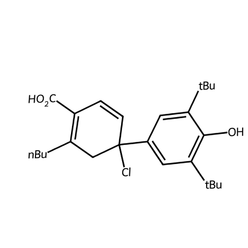 CCCCC1=C(C(=O)O)C=CC(Cl)(c2cc(C(C)(C)C)c(O)c(C(C)(C)C)c2)C1